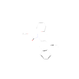 C=C[C@@H](OC1CCCCO1)[C@H](Cc1ccccc1)NC(=O)OC(C)(C)C